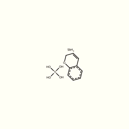 C1=Cc2ccccc2OC1.[OH][Ti]([OH])([OH])[OH].[SbH3]